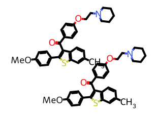 COc1ccc(-c2sc3cc(C)ccc3c2C(=O)c2ccc(OCCN3CCCCC3)cc2)cc1.COc1ccc(-c2sc3cc(C)ccc3c2C(=O)c2ccc(OCCN3CCCCC3)cc2)cc1